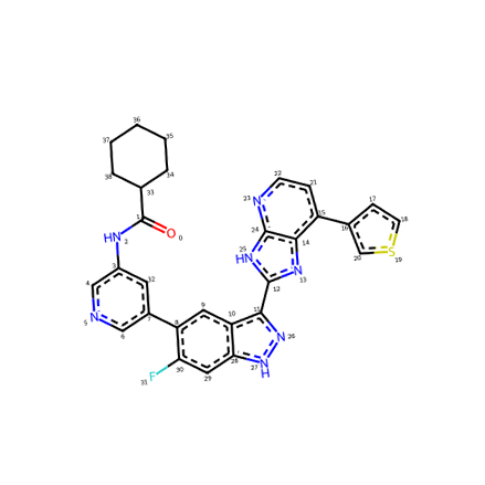 O=C(Nc1cncc(-c2cc3c(-c4nc5c(-c6ccsc6)ccnc5[nH]4)n[nH]c3cc2F)c1)C1CCCCC1